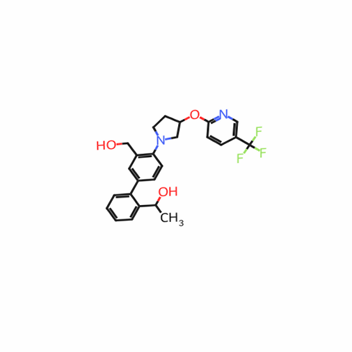 CC(O)c1ccccc1-c1ccc(N2CCC(Oc3ccc(C(F)(F)F)cn3)C2)c(CO)c1